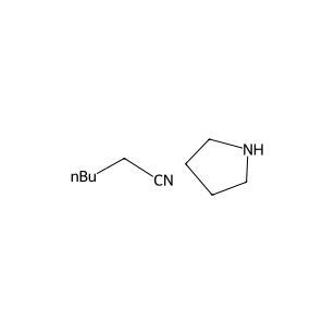 C1CCNC1.CCCCCC#N